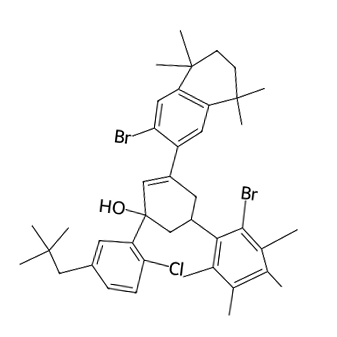 Cc1c(C)c(C)c(C2CC(c3cc4c(cc3Br)C(C)(C)CCC4(C)C)=CC(O)(c3cc(CC(C)(C)C)ccc3Cl)C2)c(Br)c1C